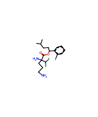 CC(C)CCC(OC(=O)C(N)(CCCN)C(F)F)c1ccccc1I